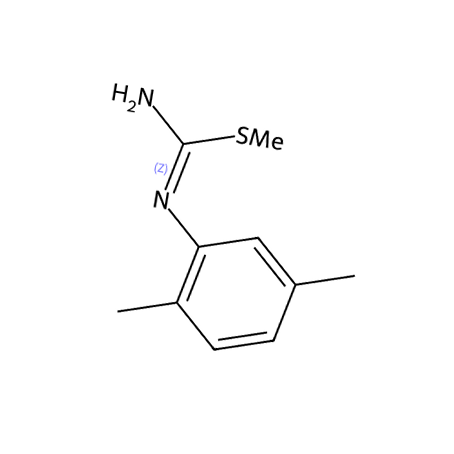 CS/C(N)=N\c1cc(C)ccc1C